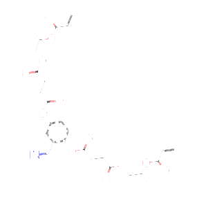 C=CC(=O)OC(C)COC(=O)CCC(=O)Oc1ccc(OC(=O)CCC(=O)OCC(C)OC(=O)C=C)c(C=N)c1